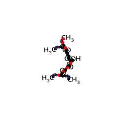 CC/C=C\CCCC(CCC/C=C\CC)COC(=O)CCCCC(=O)OCC(CO)COC(=O)CCCCC(=O)OCC(CCC/C=C\CC)CCC/C=C\CC